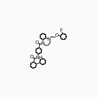 O=C(Nc1ccc(C(=O)N2CCCN(CCOc3ccccc3F)c3ccccc32)cc1)c1ccccc1-c1ccccc1